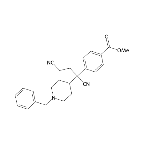 COC(=O)c1ccc(C(C#N)(CCC#N)C2CCN(Cc3ccccc3)CC2)cc1